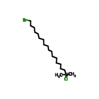 C[Si](C)(Cl)CCCCCCCCCCCCCCCCCBr